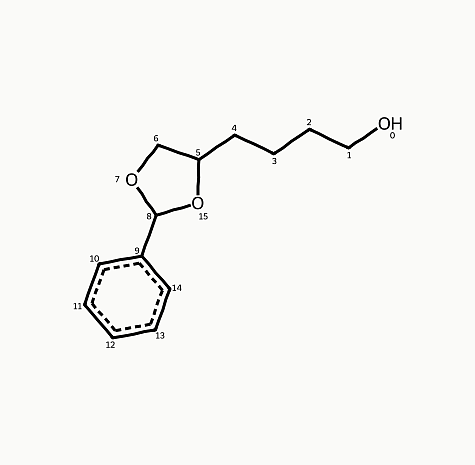 OCCCCC1COC(c2ccccc2)O1